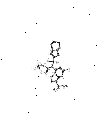 [2H]C([2H])(c1cn2ccccc2n1)N(C(=O)OC(C)(C)C)c1cc(Cl)nc2c(C(C)C)cnn12